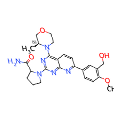 COc1ccc(-c2ccc3c(N4CCOC[C@@H]4C)nc(N4CCCC4C(N)=O)nc3n2)cc1CO